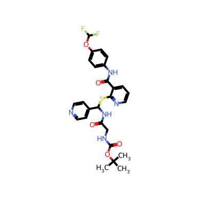 CC(C)(C)OC(=O)NCC(=O)NC(Sc1ncccc1C(=O)Nc1ccc(OC(F)F)cc1)c1ccncc1